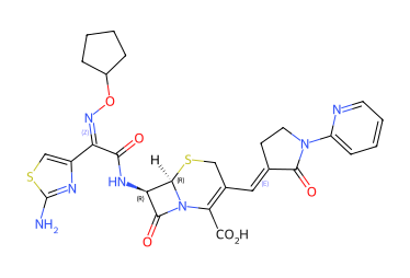 Nc1nc(/C(=N/OC2CCCC2)C(=O)N[C@@H]2C(=O)N3C(C(=O)O)=C(/C=C4\CCN(c5ccccn5)C4=O)CS[C@H]23)cs1